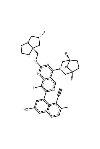 C#Cc1c(F)ccc2cc(O)cc(-c3ncc4c(N5C[C@]6(F)CC[C@](F)(C5)N6)nc(OC[C@@]56CCCN5C[C@H](F)C6)nc4c3F)c12